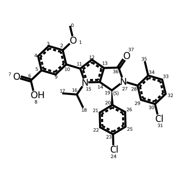 COc1ccc(C(=O)O)cc1-c1cc2c(n1C(C)C)[C@H](c1ccc(Cl)cc1)N(c1cc(Cl)ccc1C)C2=O